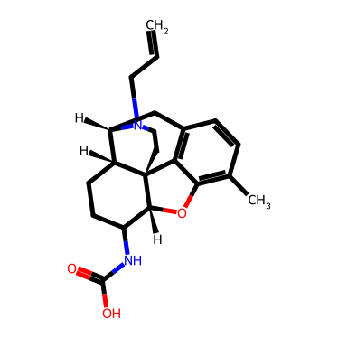 C=CCN1CC[C@@]23c4c5ccc(C)c4O[C@@H]2C(NC(=O)O)CC[C@@H]3[C@@H]1C5